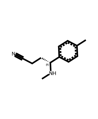 CN[C@H](CCC#N)c1ccc(C)cc1